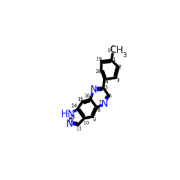 Cc1ccc(-c2cnc3cc4cn[nH]c4cc3n2)cc1